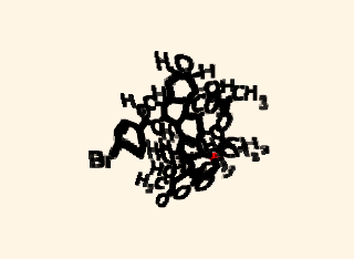 CC(=O)O[C@H]1C2C([C@@H](OC(=O)c3ccc(Br)cc3)[C@@H](C)[C@H]3C[C@@H]4O[C@@H]4[C@H](O)[C@]23C)[C@@H]2[C@@H](O)[C@@H]3[C@H]([C@H](C)[C@H]4O[C@]45OC(=O)[C@@](C)(O)[C@]35C)[C@@]2(C)[C@H]1OC(C)=O